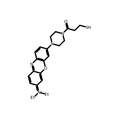 CC[N+](CC)=c1ccc2nc3ccc(N4CCN(C(=O)CCS)CC4)cc3oc-2c1